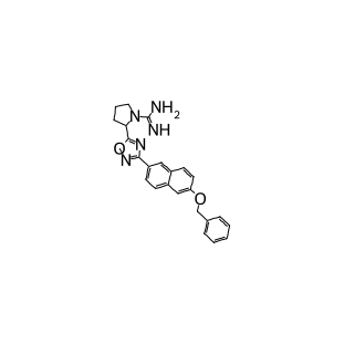 N=C(N)N1CCCC1c1nc(-c2ccc3cc(OCc4ccccc4)ccc3c2)no1